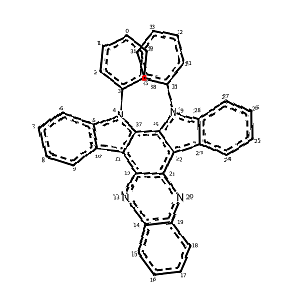 c1ccc(-n2c3ccccc3c3c4nc5ccccc5nc4c4c5ccccc5n(-c5ccccc5)c4c32)cc1